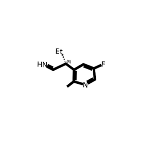 CC[C@@H](C=N)c1cc(F)cnc1C